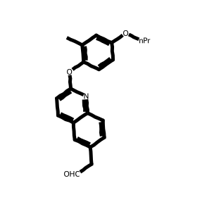 CCCOc1ccc(Oc2ccc3cc(CC=O)ccc3n2)c(C)c1